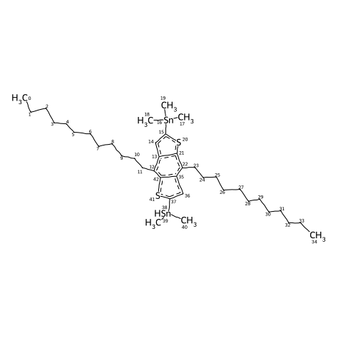 CCCCCCCCCCCCc1c2c[c]([Sn]([CH3])([CH3])[CH3])sc2c(CCCCCCCCCCCC)c2c[c]([SnH]([CH3])[CH3])sc12